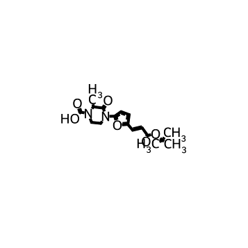 CC1C(=O)N(c2ccc(/C=C/C(=O)OC(C)(C)C)o2)CCN1C(=O)O